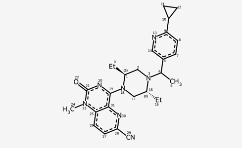 CC[C@H]1CN(C(C)c2ccc(C3CC3)nc2)[C@H](CC)CN1c1nc(=O)n(C)c2ccc(C#N)nc12